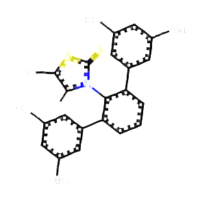 CCc1sc(=S)n(-c2c(-c3cc(C(C)(C)C)cc(C(C)(C)C)c3)cccc2-c2cc(C(C)(C)C)cc(C(C)(C)C)c2)c1CC